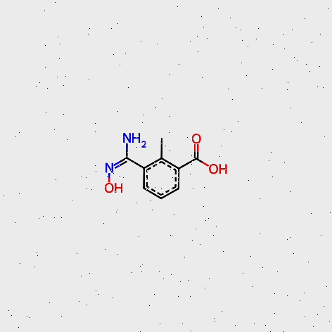 Cc1c(C(=O)O)cccc1/C(N)=N\O